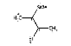 CCC(C)C(C)SC